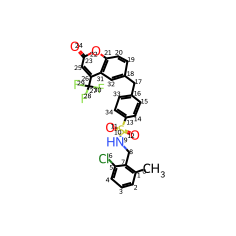 Cc1cccc(Cl)c1CNS(=O)(=O)c1ccc(Cc2ccc3oc(=O)cc(C(F)(F)F)c3c2)cc1